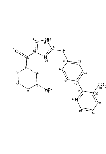 CCCC1CCCC(C(=O)c2n[nH]c(Cc3ccc(-c4ncccc4C(=O)O)cc3)n2)C1